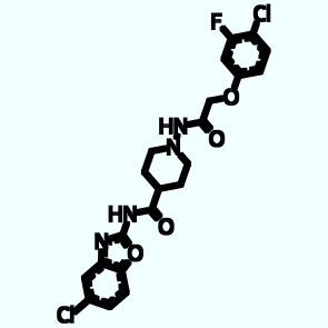 O=C(COc1ccc(Cl)c(F)c1)NN1CCC(C(=O)Nc2nc3cc(Cl)ccc3o2)CC1